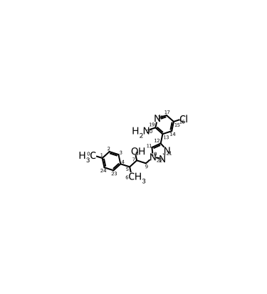 Cc1ccc(C(C)C(O)Cn2cc(-c3cc(Cl)cnc3N)nn2)cc1